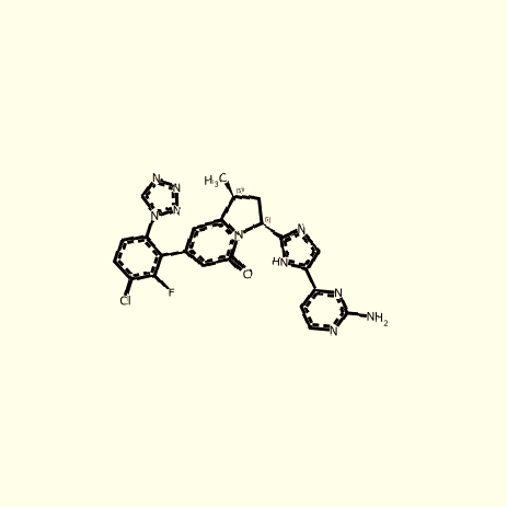 C[C@H]1C[C@@H](c2ncc(-c3ccnc(N)n3)[nH]2)n2c1cc(-c1c(-n3cnnn3)ccc(Cl)c1F)cc2=O